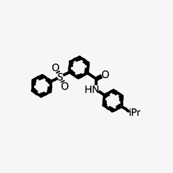 CC(C)c1ccc(NC(=O)c2cccc(S(=O)(=O)c3ccccc3)c2)cc1